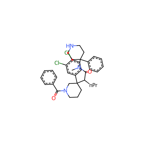 CCCC(C(=O)N(C)C1(c2ccccc2)CCNCC1)C1(c2ccc(Cl)c(Cl)c2)CCCN(C(=O)c2ccccc2)C1